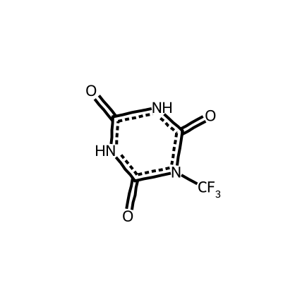 O=c1[nH]c(=O)n(C(F)(F)F)c(=O)[nH]1